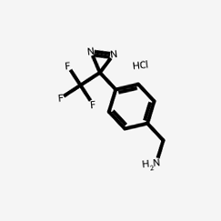 Cl.NCc1ccc(C2(C(F)(F)F)N=N2)cc1